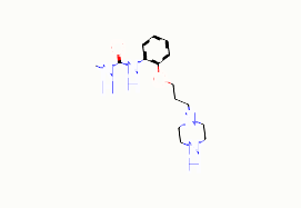 CNC(=O)Nc1ccccc1OCCCN1CCNCC1